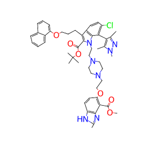 COC(=O)c1c(OCCN2CCN(CCn3c(C(=O)OC(C)(C)C)c(CCCOc4cccc5ccccc45)c4ccc(Cl)c(-c5c(C)nn(C)c5C)c43)CC2)ccc2[nH]c(C)nc12